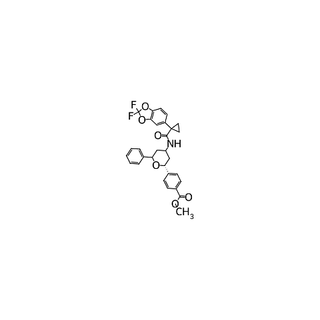 COC(=O)c1ccc([C@H]2CC(NC(=O)C3(c4ccc5c(c4)OC(F)(F)O5)CC3)CC(c3ccccc3)O2)cc1